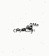 COc1ccc2nccc([C@H](O)CC[C@@H]3CCN(CCSc4cccc(Cl)c4)C[C@@H]3C(=O)O)c2c1